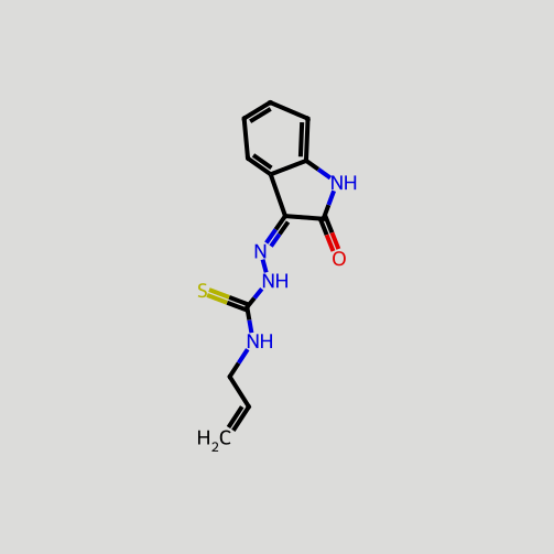 C=CCNC(=S)N/N=C1\C(=O)Nc2ccccc21